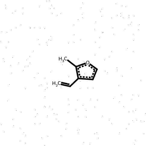 C=Cc1ccoc1C